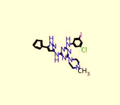 CN1CCN(c2nc(Nc3cc(Cl)cc(I)c3)nc(Nc3cc(-c4ccccc4)[nH]n3)n2)CC1